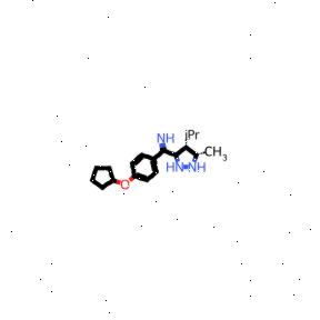 CC(C)[C@H]1C(C(=N)c2ccc(OC3CCCC3)cc2)NN[C@H]1C